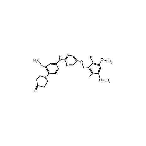 COc1cc(Nc2ncc(OCc3c(F)c(OC)cc(OC)c3F)cn2)ccc1N1CCC(=O)CC1